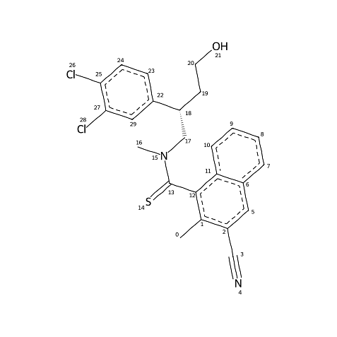 Cc1c(C#N)cc2ccccc2c1C(=S)N(C)C[C@@H](CCO)c1ccc(Cl)c(Cl)c1